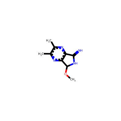 COC1NC(=N)c2nc(C)c(C)nc21